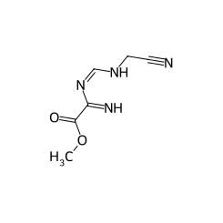 COC(=O)C(=N)/N=C\NCC#N